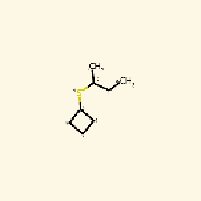 C[CH]C(C)SC1CCC1